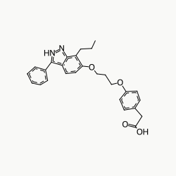 CCCc1c(OCCCOc2ccc(CC(=O)O)cc2)ccc2c(-c3ccccc3)[nH]nc12